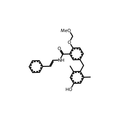 COCOc1ccc(Cc2c(C)cc(O)cc2C)cc1C(=O)NC=Cc1ccccc1